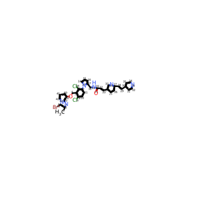 Cc1nc2c(OCc3c(Cl)ccc(-n4cccc4CNC(=O)C=Cc4ccc(C=Cc5ccncc5)nc4)c3Cl)cccn2c1Br